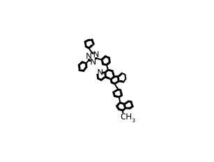 Cc1ccc(-c2ccc(-c3cc4c(cc(-c5cccc(-c6nc(-c7ccccc7)nc(-c7ccccc7)n6)c5)c5ncccc54)c4c3=CCCC=4)cc2)c2ccccc12